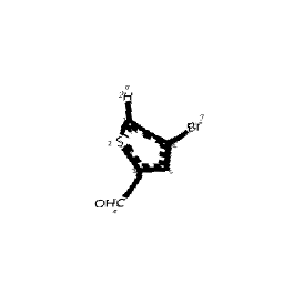 [2H]c1sc(C=O)cc1Br